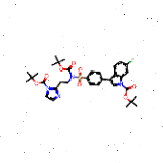 CC(C)(C)OC(=O)N(CCc1nccn1C(=O)OC(C)(C)C)S(=O)(=O)c1ccc(-c2cn(C(=O)OC(C)(C)C)c3cc(F)ccc23)cc1